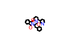 O=C(C(Cc1ccccc1)N1C(=O)c2ccccc2C1=O)N1CC=CCC1c1cccnc1